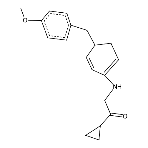 COc1ccc(CC2C=CC(NCC(=O)C3CC3)=CC2)cc1